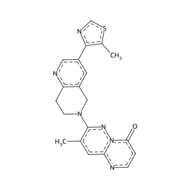 Cc1cc2nccc(=O)n2nc1N1CCc2ncc(-c3ncsc3C)cc2C1